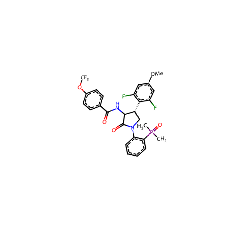 COc1cc(F)c([C@@H]2CN(c3ccccc3P(C)(C)=O)C(=O)C2NC(=O)c2ccc(OC(F)(F)F)cc2)c(F)c1